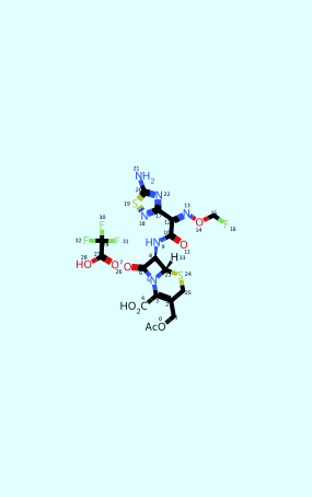 CC(=O)OCC1=C(C(=O)O)N2C(=O)[C@@H](NC(=O)/C(=N\OCF)c3nsc(N)n3)[C@@H]2SC1.O=C(O)C(F)(F)F